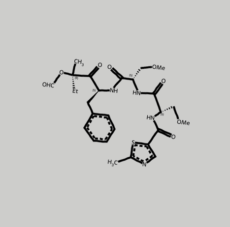 CC[C@@](C)(OC=O)C(=O)[C@H](Cc1ccccc1)NC(=O)[C@H](COC)NC(=O)[C@H](COC)NC(=O)c1cnc(C)s1